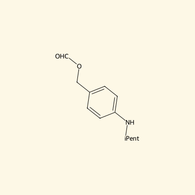 CCCC(C)Nc1ccc(COC=O)cc1